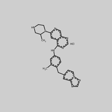 Cc1cc(Nc2ncnc3cnc(N4CCNCC4C)cc23)ccc1Cc1ccn2ncnc2c1.Cl